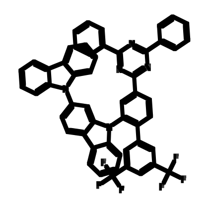 FC(F)(F)c1cc(-c2ccc(-c3nc(-c4ccccc4)nc(-c4ccccc4)n3)cc2-n2c3ccccc3c3ccc(-n4c5ccccc5c5ccccc54)cc32)cc(C(F)(F)F)c1